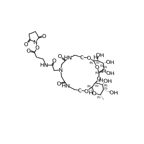 C[C@@H]1O[C@H]2OCCNC(=O)CN(CC(=O)NCCC(=O)ON3C(=O)CCC3=O)CC(=O)NCCO[C@@H]3O[C@@H](O[C@H]2[C@H](O)[C@@H]1O)[C@@H](O)[C@@H](O)[C@@H]3O